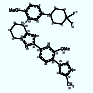 COc1ccc(N2CCC(F)(F)CC2)cc1[C@H]1CCCn2nc(-c3ccc(-n4cnc(C)c4)c(OC)n3)nc21